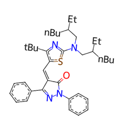 CCCCC(CC)CN(CC(CC)CCCC)c1nc(C(C)(C)C)c(/C=C2\C(=O)N(c3ccccc3)N=C2c2ccccc2)s1